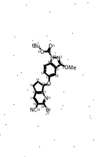 COc1nn(C(=O)OC(C)(C)C)c2ccc(OC3CCc4cc(C#N)c(Br)nc43)cc12